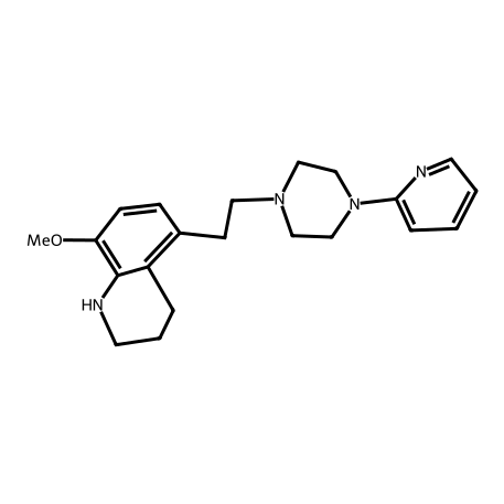 COc1ccc(CCN2CCN(c3ccccn3)CC2)c2c1NCCC2